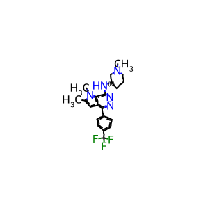 Cc1cc2c(-c3ccc(C(F)(F)F)cc3)nnc(N[C@@H]3CCCN(C)C3)c2n1C